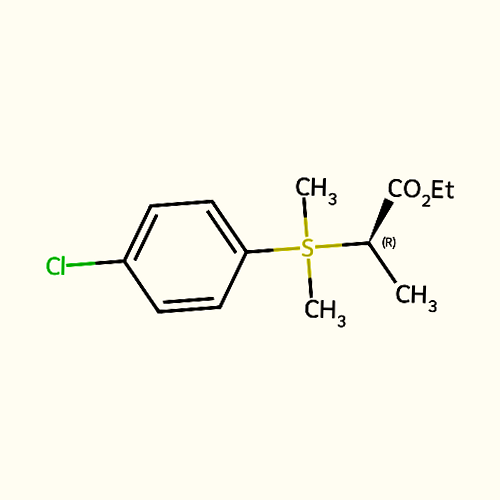 CCOC(=O)[C@@H](C)S(C)(C)c1ccc(Cl)cc1